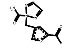 CC(=O)c1cc(C[N+]2(C(N)=O)N=[C]C=N2)cs1